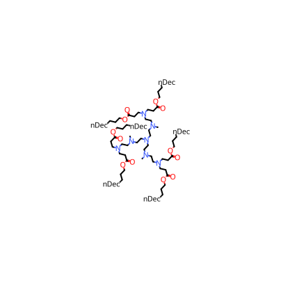 CCCCCCCCCCCCCOC(=O)CCN(CCC(=O)OCCCCCCCCCCCCC)CCN(C)CCN(CCN(C)CCN(CCC(=O)OCCCCCCCCCCCCC)CCC(=O)OCCCCCCCCCCCCC)CCN(C)CCN(CCC(=O)OCCCCCCCCCCCCC)CCC(=O)OCCCCCCCCCCCCC